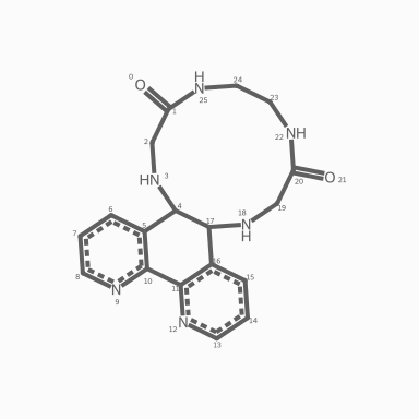 O=C1CNC2c3cccnc3-c3ncccc3C2NCC(=O)NCCN1